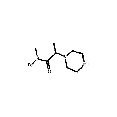 CCN(C)C(=O)C(C)N1CCNCC1